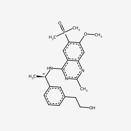 COc1cc2nc(C)nc(N[C@H](C)c3cccc(CCO)c3)c2cc1P(C)(C)=O